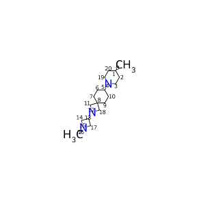 CC1CCN(C2CCC3(CC2)CN(C2CN(C)C2)C3)CC1